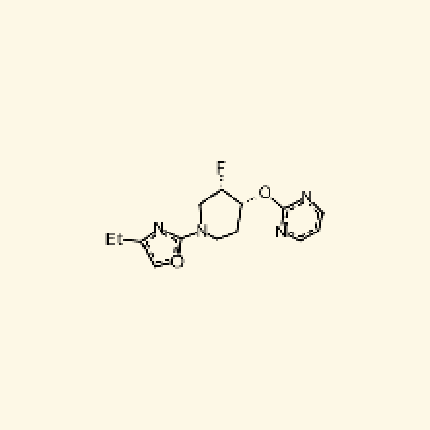 CCc1coc(N2CC[C@@H](Oc3ncccn3)[C@@H](F)C2)n1